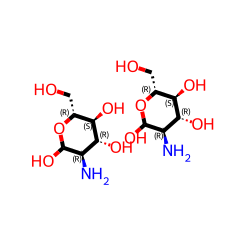 N[C@H]1C(O)O[C@H](CO)[C@@H](O)[C@@H]1O.N[C@H]1C(O)O[C@H](CO)[C@@H](O)[C@@H]1O